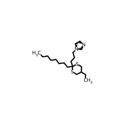 CCCCCCCCC1(CCCn2ccnc2)SCC(CC)CS1